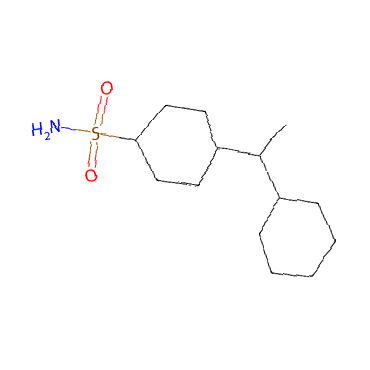 CC(C1CCCCC1)C1CCC(S(N)(=O)=O)CC1